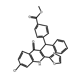 COC(=O)c1ccc(C(c2ccccc2)c2c(-c3ncco3)[nH]c3cc(Cl)ccc3c2=O)cc1